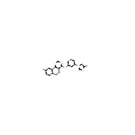 Cc1cn(-c2cccc(Nc3ncnc4c3CCc3ccc(F)cc3-4)c2)cn1